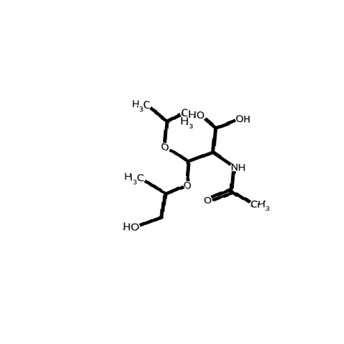 CC(=O)NC(C(O)O)C(OC(C)C)OC(C)CO